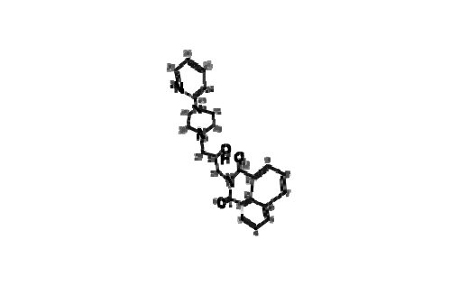 O=C1c2cccc3cccc(c23)C(=O)N1CC(O)CN1CCN(c2ccccn2)CC1